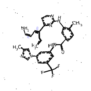 C=C/C(=C\C=C/N)c1ccnc(Nc2cc(C(=O)Nc3cc(-n4cnc(C)c4)cc(C(F)(F)F)c3)ccc2C)n1